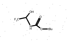 CC(C)(C)OC(=O)NC(O)C(F)(F)F